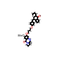 COc1cc2c(cc1OCCCCOc1ccc(C=C3c4ccccc4C(=O)c4ccccc43)cc1)N=C[C@@H]1CCCN1C2=O